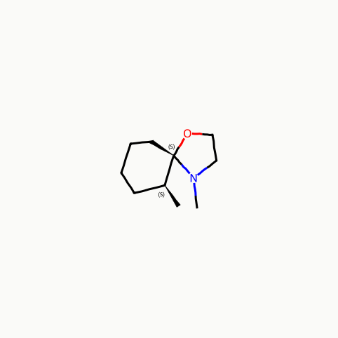 C[C@H]1CCCC[C@]12OCCN2C